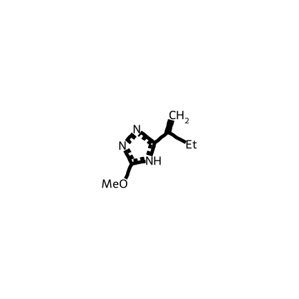 C=C(CC)c1nnc(OC)[nH]1